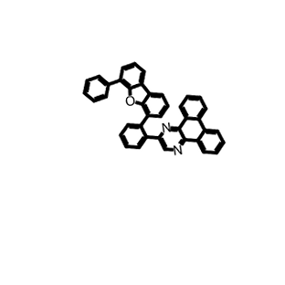 c1ccc(-c2cccc3c2oc2c(-c4ccccc4-c4cnc5c6ccccc6c6ccccc6c5n4)cccc23)cc1